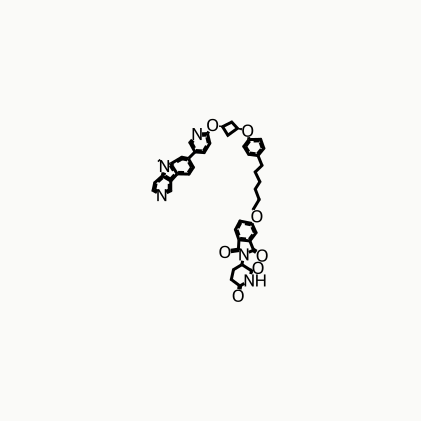 Cn1c2ccncc2c2ccc(-c3ccc(O[C@H]4C[C@H](Oc5ccc(CCCCCCOc6ccc7c(c6)C(=O)N(C6CCC(=O)NC6=O)C7=O)cc5)C4)nc3)cc21